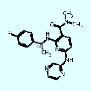 C[C@H](Nc1nc(Nc2cnccn2)ccc1C(=O)N(C)C)c1ccc(F)cc1